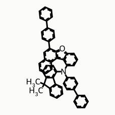 CC1(C)c2ccccc2-c2c(N(c3ccc(-c4ccccc4)cc3)c3cccc4oc5c(-c6ccc(-c7ccccc7)cc6)cc6ccccc6c5c34)cccc21